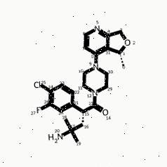 C[C@H]1OCc2nccc(N3CCN(C(=O)[C@H](CC(C)(C)N)c4ccc(Cl)c(F)c4)CC3)c21